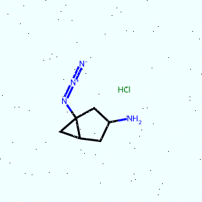 Cl.[N-]=[N+]=NC12CC(N)CC1C2